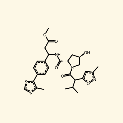 COC(=O)CC(NC(=O)[C@@H]1C[C@@H](O)CN1C(=O)C(c1cc(C)no1)C(C)C)c1ccc(-c2scnc2C)cc1